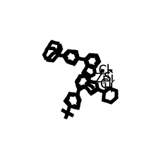 CCC1=Cc2c(-c3ccc(C45CC6CC(CC(C6)C4)C5)cc3)cccc2[CH]1[Zr]([Cl])([Cl])([CH]1C(C2CCCCC2)=Cc2c(-c3ccc(C(C)(C)C)cc3)cccc21)[SiH](C)C